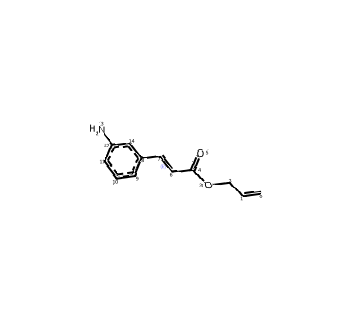 C=CCOC(=O)/C=C/c1cccc(N)c1